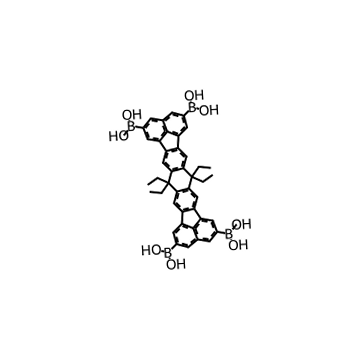 CCC1(CC)c2cc3c(cc2C(CC)(CC)c2cc4c(cc21)-c1cc(B(O)O)cc2cc(B(O)O)cc-4c12)-c1cc(B(O)O)cc2cc(B(O)O)cc-3c12